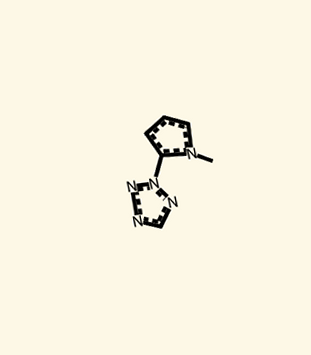 Cn1cccc1-n1ncnn1